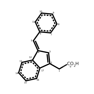 O=C(O)CC1=CC(=Cc2ccccc2)c2ccccc21